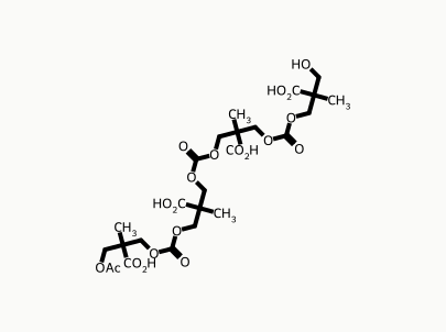 CC(=O)OCC(C)(COC(=O)OCC(C)(COC(=O)OCC(C)(COC(=O)OCC(C)(CO)C(=O)O)C(=O)O)C(=O)O)C(=O)O